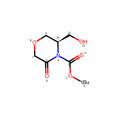 CC(C)(C)OC(=O)N1C(=O)COC[C@H]1CO